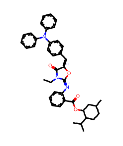 CCN1C(=O)/C(=C\c2ccc(N(c3ccccc3)c3ccccc3)cc2)O/C1=N/c1ccccc1C(=O)OC1CC(C)CCC1C(C)C